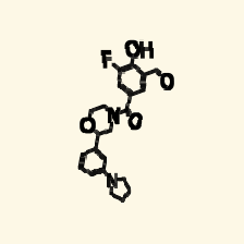 O=Cc1cc(C(=O)N2CCOC(c3cccc(N4CCCC4)c3)C2)cc(F)c1O